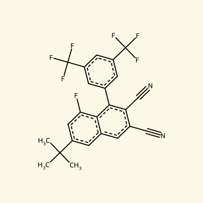 CC(C)(C)c1cc(F)c2c(-c3cc(C(F)(F)F)cc(C(F)(F)F)c3)c(C#N)c(C#N)cc2c1